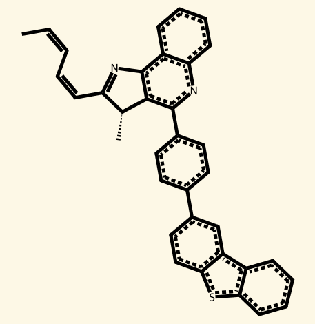 C/C=C\C=C/C1=Nc2c(c(-c3ccc(-c4ccc5sc6ccccc6c5c4)cc3)nc3ccccc23)[C@@H]1C